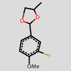 COc1ccc(C2OCC(C)O2)cc1F